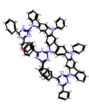 c1ccc(-c2nc(-c3ccccc3)nc(-n3c4ccccc4c4cc5c(cc43)c3cc4c(cc3n5-c3ccccc3)c3cc5c(cc3n4-c3nc(-c4ccccc4)nc(-c4ccccc4)n3)c3cc4c(cc3n5-c3ccccc3)c3ccccc3n4-c3nc(-c4ccccc4)nc(-c4ccccc4)n3)n2)cc1